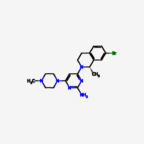 C[C@H]1c2cc(Br)ccc2CCN1c1cc(N2CCN(C)CC2)nc(N)n1